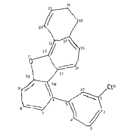 Clc1cccc(-c2cccc3oc4c5c(ccc4c23)CCC=C5)c1